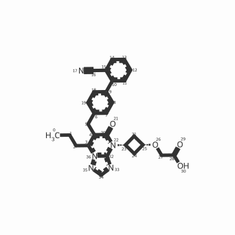 CCCc1c(Cc2ccc(-c3ccccc3C#N)cc2)c(=O)n([C@H]2C[C@@H](OCC(=O)O)C2)c2ncnn12